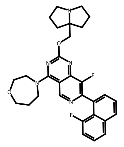 Fc1c(-c2cccc3cccc(F)c23)ncc2c(N3CCCOCC3)nc(OCC34CCCN3CCC4)nc12